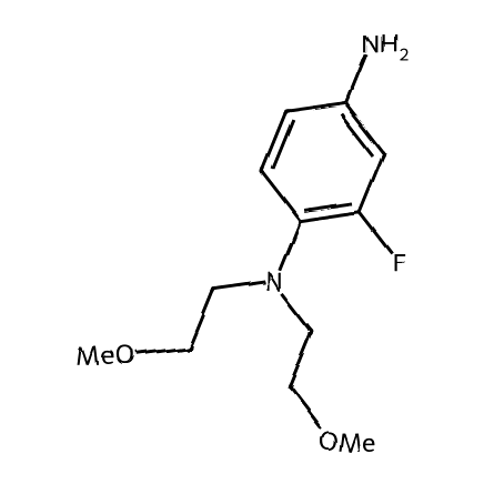 COCCN(CCOC)c1ccc(N)cc1F